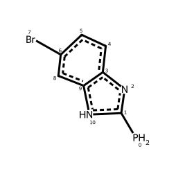 Pc1nc2ccc(Br)cc2[nH]1